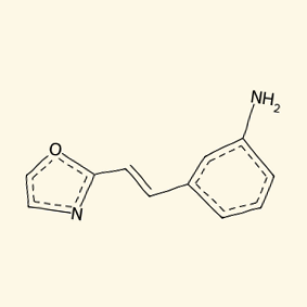 Nc1cccc(C=Cc2ncco2)c1